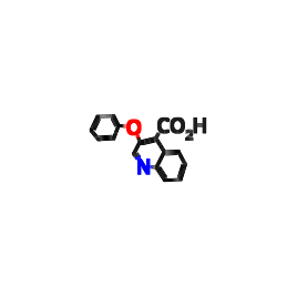 O=C(O)c1c(Oc2ccccc2)cnc2ccccc12